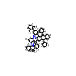 Cc1cc2c3c(c1)-n1c4cc(-c5c(C)cccc5C)ccc4c4c5c(-c6ccccc6)c6ccccc6c(C6=CCCC=C6)c5cc(c41)B3c1cccc3c1N2c1ccccc1C3(C)C